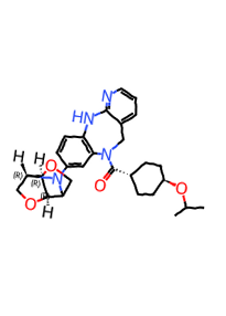 CC(C)O[C@H]1CC[C@H](C(=O)N2Cc3cccnc3Nc3ccc(N4C5CO[C@H]6[C@@H]5OC[C@H]64)cc32)CC1